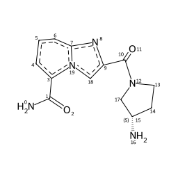 NC(=O)c1cccc2nc(C(=O)N3CC[C@H](N)C3)cn12